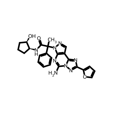 CC(C(=O)N[C@H]1CCC[C@H]1O)(c1ccccc1)n1ncc2c1nc(N)n1nc(-c3ccco3)nc21